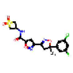 O=C(NC1CS(=O)(=O)C1)c1cc(C2=NOC(c3cc(Cl)cc(Cl)c3)(C(F)(F)F)C2)no1